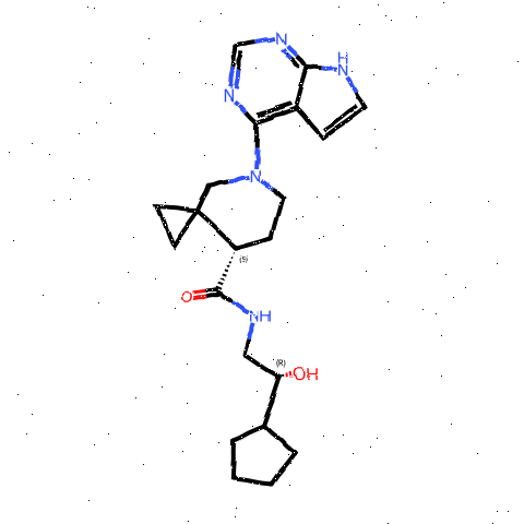 O=C(NC[C@H](O)C1CCCC1)[C@H]1CCN(c2ncnc3[nH]ccc23)CC12CC2